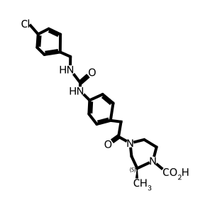 C[C@H]1CN(C(=O)Cc2ccc(NC(=O)NCc3ccc(Cl)cc3)cc2)CCN1C(=O)O